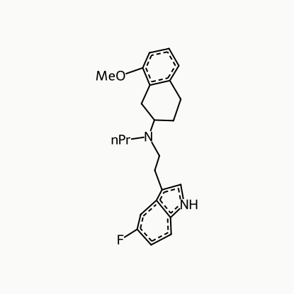 CCCN(CCc1c[nH]c2ccc(F)cc12)C1CCc2cccc(OC)c2C1